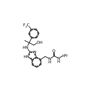 CCCNC(=O)NCc1cccc2[nH]c(NC(C)(CO)c3cccc(C(F)(F)F)c3)nc12